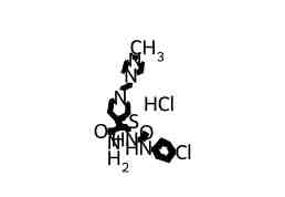 CN1CCN(CCN2CCc3c(sc(NC(=O)Nc4ccc(Cl)cc4)c3C(N)=O)C2)CC1.Cl